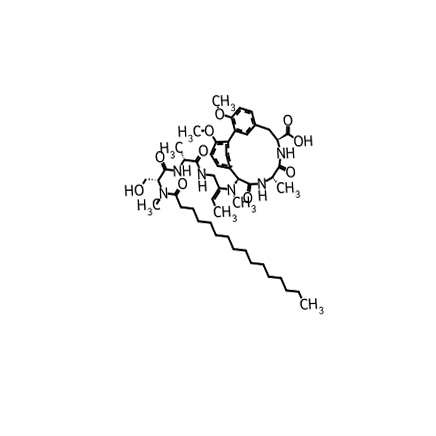 C/C=C(/CNC(=O)[C@@H](C)NC(=O)[C@@H](CO)N(C)C(=O)CCCCCCCCCCCCCCC)N(C)[C@@H]1C(=O)N[C@@H](C)C(=O)N[C@H](C(=O)O)Cc2ccc(OC)c(c2)-c2cc1ccc2OC